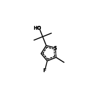 Cc1sc(C(C)(C)O)cc1F